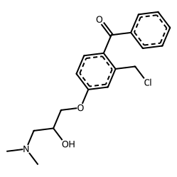 CN(C)CC(O)COc1ccc(C(=O)c2ccccc2)c(CCl)c1